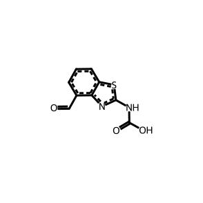 O=Cc1cccc2sc(NC(=O)O)nc12